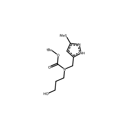 CSc1cc(CN(CCCO)C(=O)OC(C)(C)C)[nH]n1